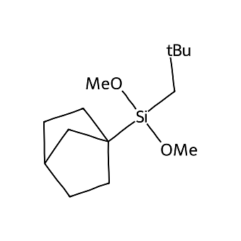 CO[Si](CC(C)(C)C)(OC)C12CCC(CC1)C2